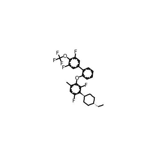 CC[C@H]1CC[C@H](c2c(F)cc(C)c(Oc3ccccc3-c3cc(F)c(OC(F)(F)F)c(F)c3)c2F)CC1